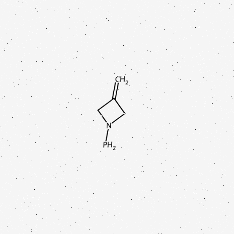 C=C1CN(P)C1